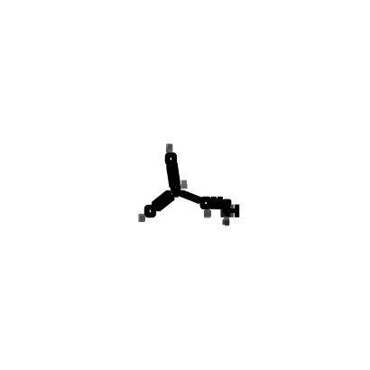 C[O][V](=[O])=[O].[KH]